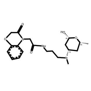 C[C@@H]1C[C@H](N(C)CCCNC(=O)CN2C(=O)COc3ccccc32)C[C@H](O)O1